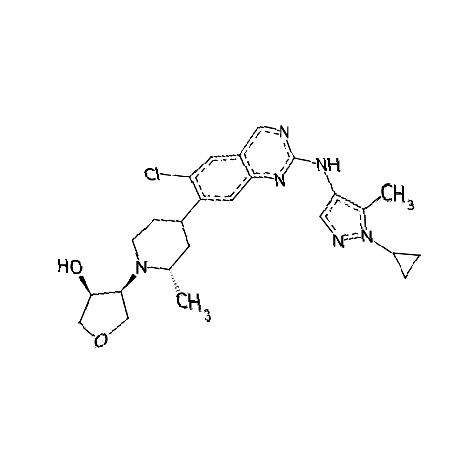 Cc1c(Nc2ncc3cc(Cl)c(C4CCN([C@H]5COC[C@H]5O)[C@@H](C)C4)cc3n2)cnn1C1CC1